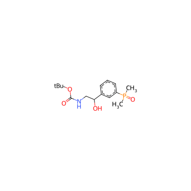 CC(C)(C)OC(=O)NCC(O)c1cccc(P(C)(C)=O)c1